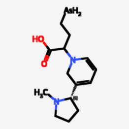 CN1CCC[C@H]1C1=CC=CN(C(CC[AsH2])C(=O)O)C1